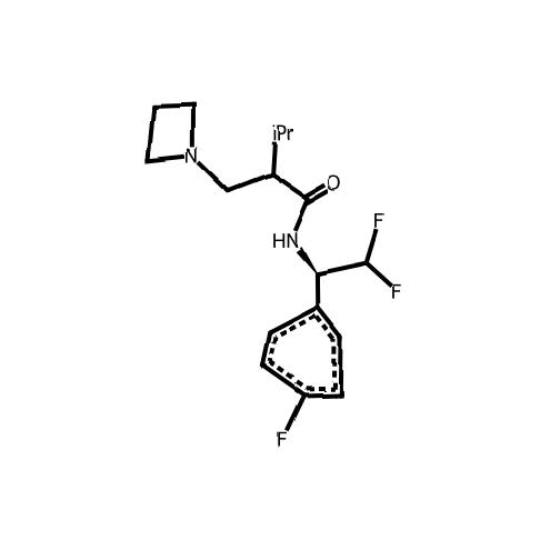 CC(C)C(CN1CCC1)C(=O)N[C@H](c1ccc(F)cc1)C(F)F